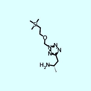 C[C@H](N)Cc1nnn(COCC[Si](C)(C)C)n1